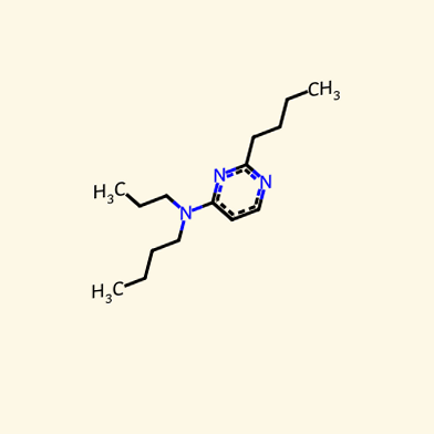 CCCCc1nccc(N(CCC)CCCC)n1